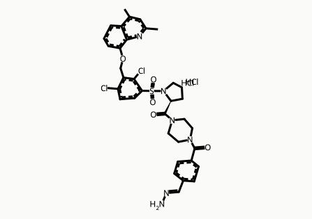 Cc1cc(C)c2cccc(OCc3c(Cl)ccc(S(=O)(=O)N4CCC[C@H]4C(=O)N4CCN(C(=O)c5ccc(C=NN)cc5)CC4)c3Cl)c2n1.Cl.Cl